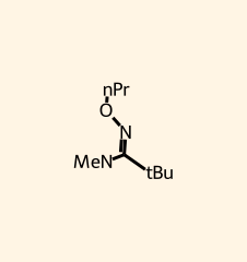 CCCO/N=C(\NC)C(C)(C)C